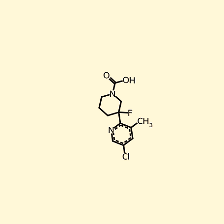 Cc1cc(Cl)cnc1C1(F)CCCN(C(=O)O)C1